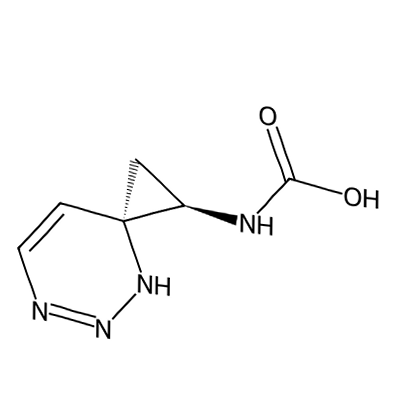 O=C(O)N[C@@H]1C[C@]12C=CN=NN2